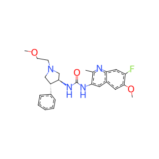 COCCN1C[C@@H](NC(=O)Nc2cc3cc(OC)c(F)cc3nc2C)[C@H](c2ccccc2)C1